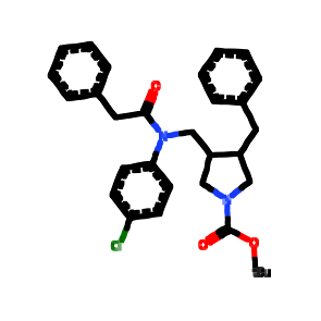 CC(C)(C)OC(=O)N1CC(Cc2ccccc2)C(CN(C(=O)Cc2ccccc2)c2ccc(Cl)cc2)C1